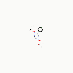 CC(C)(C)OC(=O)N1CCN(C(=O)OC(C)(C)C)[C@@H](c2ccc(Cl)cc2)C1